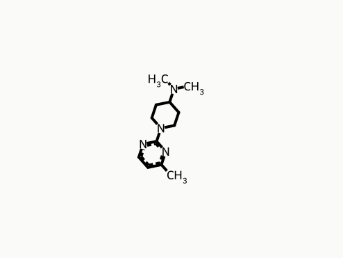 Cc1ccnc(N2CCC(N(C)C)CC2)n1